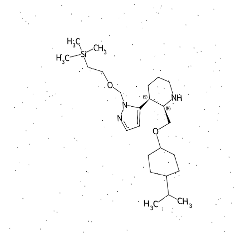 CC(C)C1CCC(OC[C@@H]2NCCC[C@@H]2c2ccnn2COCC[Si](C)(C)C)CC1